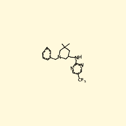 CC1(C)CC(Nc2ncc(C(F)(F)F)cn2)CN(Cc2ccccc2)C1